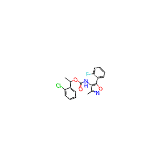 Cc1noc(-c2ccccc2F)c1NC(=O)OC(C)c1ccccc1Cl